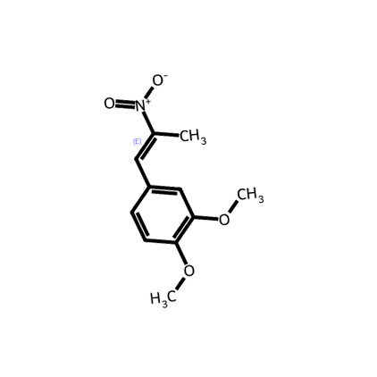 COc1ccc(/C=C(\C)[N+](=O)[O-])cc1OC